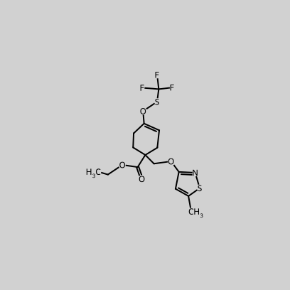 CCOC(=O)C1(COc2cc(C)sn2)CC=C(OSC(F)(F)F)CC1